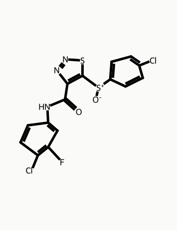 O=C(Nc1ccc(Cl)c(F)c1)c1nnsc1[S+]([O-])c1ccc(Cl)cc1